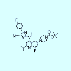 CCN(c1nc(-c2ccc(F)cc2)c(C#N)s1)c1cc(C(C)C)nc2c(F)cc(N3CCN(C(=O)OC(C)(C)C)CC3)cc12